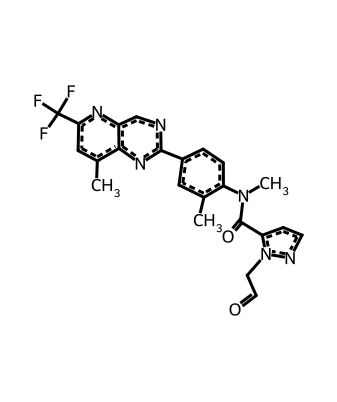 Cc1cc(-c2ncc3nc(C(F)(F)F)cc(C)c3n2)ccc1N(C)C(=O)c1ccnn1CC=O